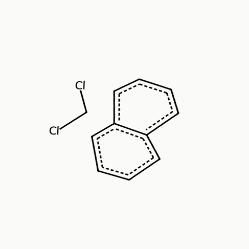 ClCCl.c1ccc2ccccc2c1